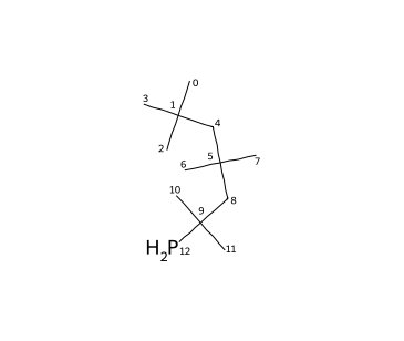 CC(C)(C)CC(C)(C)CC(C)(C)P